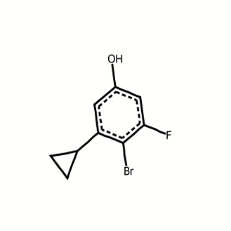 Oc1cc(F)c(Br)c(C2CC2)c1